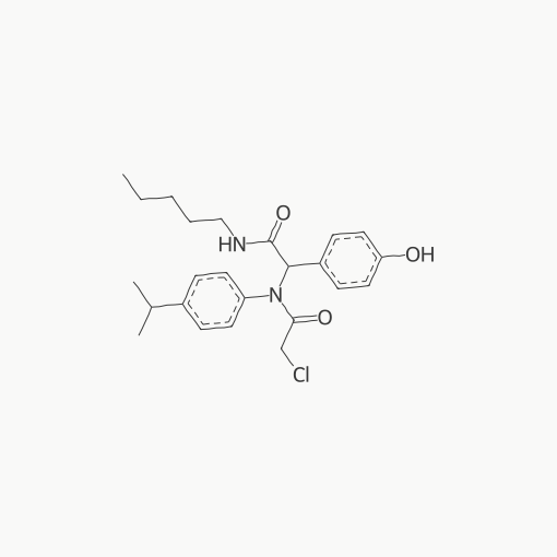 CCCCCNC(=O)C(c1ccc(O)cc1)N(C(=O)CCl)c1ccc(C(C)C)cc1